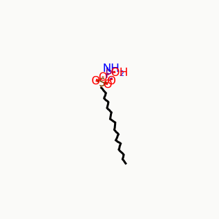 CCCCCCCCCCCCCCCCS(=O)(=O)OP(N)(=O)O